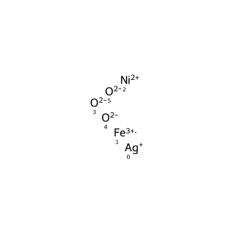 [Ag+].[Fe+3].[Ni+2].[O-2].[O-2].[O-2]